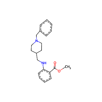 COC(=O)c1ccccc1NCC1CCN(Cc2ccccc2)CC1